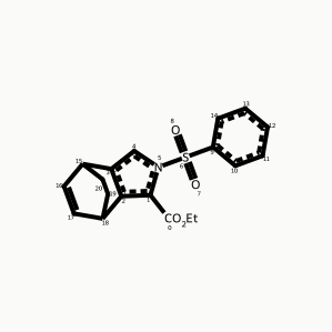 CCOC(=O)c1c2c(cn1S(=O)(=O)c1ccccc1)C1C=CC2CC1